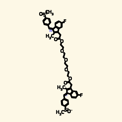 CC1=C(CC(=O)OCCOCCOCCOCCOC(=O)CC2=C(C)/C(=C/c3ccc([S+](C)[O-])cc3)c3ccc(F)cc32)c2cc(F)ccc2/C1=C\c1ccc([S+](C)[O-])cc1